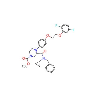 CC(C)(C)OC(=O)N1CCN(c2ccc(OCCOc3cc(F)ccc3F)cc2)C(C(=O)N(Cc2ccccc2)C2CC2)C1